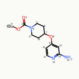 CC(C)(C)OC(=O)N1CCC(Oc2ccnc(N)c2)CC1